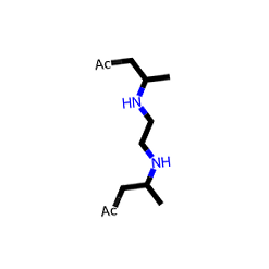 CC(=O)CC(C)NCCNC(C)CC(C)=O